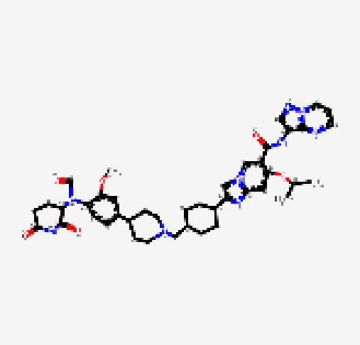 COc1cc(C2CCN(CC3CCC(c4cn5cc(C(=O)Nc6cnn7cccnc67)c(OC(C)C)cc5n4)CC3)CC2)ccc1N(C=O)C1CCC(=O)NC1=O